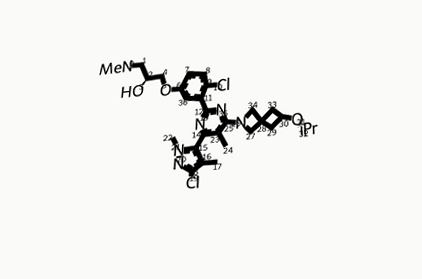 CNC[C@@H](O)COc1ccc(Cl)c(-c2nc(-c3c(C)c(Cl)nn3C)c(C)c(N3CC4(CC(OC(C)C)C4)C3)n2)c1